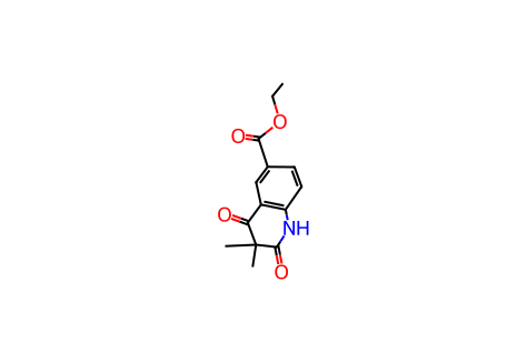 CCOC(=O)c1ccc2c(c1)C(=O)C(C)(C)C(=O)N2